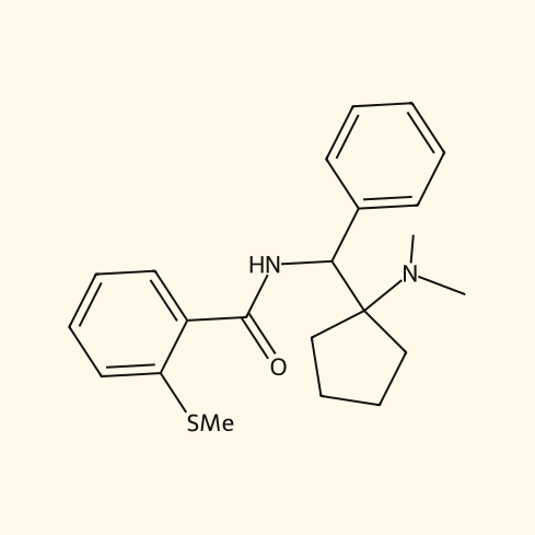 CSc1ccccc1C(=O)NC(c1ccccc1)C1(N(C)C)CCCC1